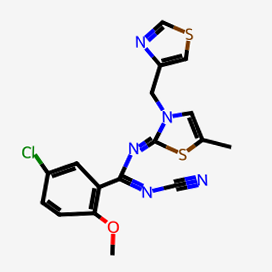 COc1ccc(Cl)cc1C(=NC#N)N=c1sc(C)cn1Cc1cscn1